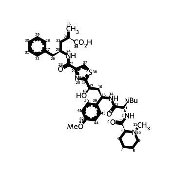 CC[C@H](C)[C@H](NC(=O)[C@H]1CCCCN1C)C(=O)N[C@H](C[C@@H](O)c1nc(C(=O)N[C@@H](Cc2ccccc2)C[C@H](C)C(=O)O)cs1)c1ccc(OC)cc1